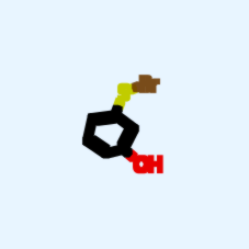 Oc1cccc(SBr)c1